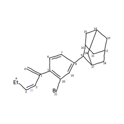 C=C(/C=C\CC)c1ccc(C2C3CC4CC(C3)CC2C4)cc1Br